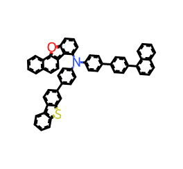 c1ccc2c(-c3ccc(-c4ccc(N(c5ccc(-c6ccc7c(c6)sc6ccccc67)cc5)c5cccc6oc7c8ccccc8ccc7c56)cc4)cc3)cccc2c1